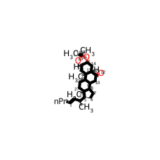 CCC/C=C/[C@@H](C)[C@H]1CCC2C3CC(=O)[C@H]4CC5OC(C)(C)O[C@@H]5C[C@]4(C)C3CC[C@@]21C